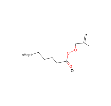 C=C(C)COOC(=O)CCCCCCCCCCC.[Zr]